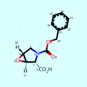 O=C(O)[C@@H]1[C@H]2O[C@@H]2CN1C(=O)OCc1ccccc1